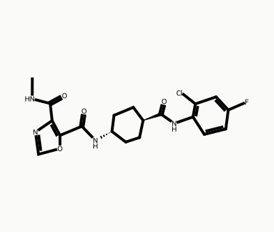 CNC(=O)c1ncoc1C(=O)N[C@H]1CC[C@H](C(=O)Nc2ccc(F)cc2Cl)CC1